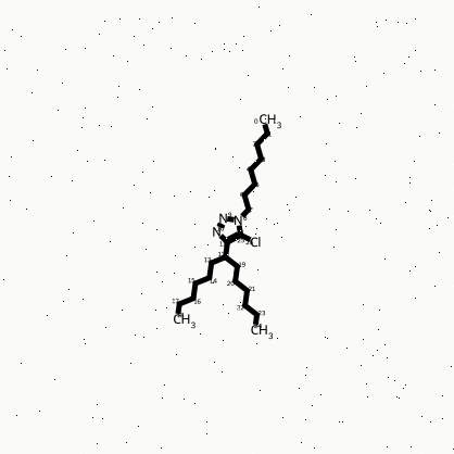 CCCCCCCCn1nnc(C(CCCCCC)CCCCCC)c1Cl